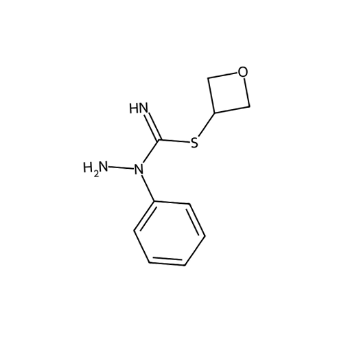 N=C(SC1COC1)N(N)c1ccccc1